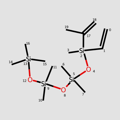 C=C[Si](C)(O[Si](C)(C)O[Si](C)(C)O[Si](C)(C)C)C(=C)C